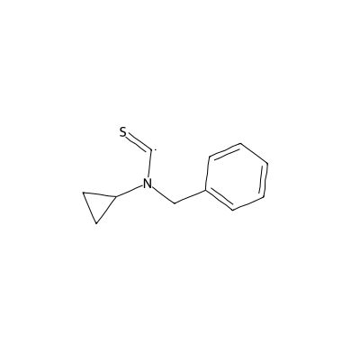 S=[C]N(Cc1ccccc1)C1CC1